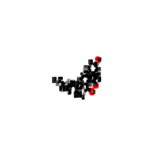 CC(C)CCC[C@@H](C)[C@H]1CC(=O)C2=C3C(=O)C[C@H]4CC(=O)CC[C@]4(C)[C@H]3CC[C@@]21C